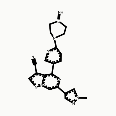 Cn1cc(-c2cn3ncc(C#N)c3c(-c3ccc(N4CCS(=N)CC4)nc3)n2)cn1